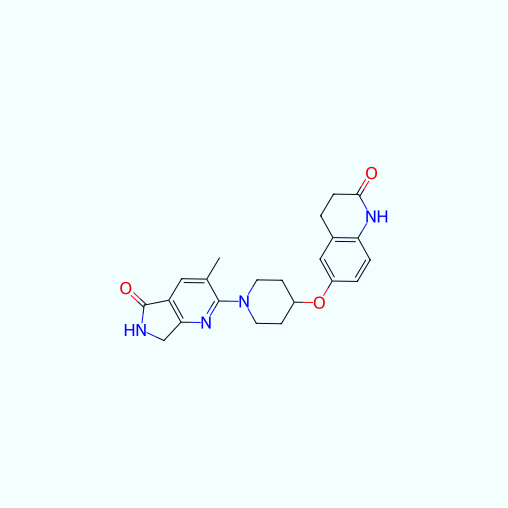 Cc1cc2c(nc1N1CCC(Oc3ccc4c(c3)CCC(=O)N4)CC1)CNC2=O